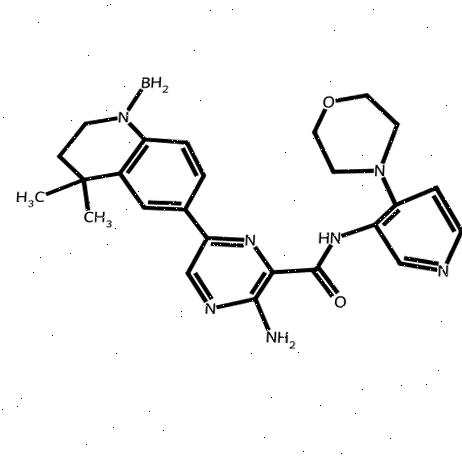 BN1CCC(C)(C)c2cc(-c3cnc(N)c(C(=O)Nc4cnccc4N4CCOCC4)n3)ccc21